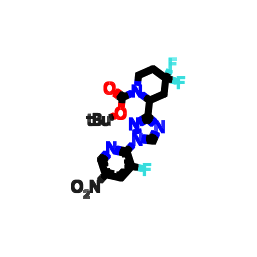 CC(C)(C)OC(=O)N1CCC(F)(F)CC1c1ncn(-c2ncc([N+](=O)[O-])cc2F)n1